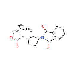 CC(C)(C)C(C(=O)O)[C@H]1CC[C@H](N2C(=O)c3ccccc3C2=O)C1